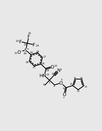 CC(C#N)(COC(=O)C1=CC=CC1)NC(=O)c1ccc([S+]([O-])C(F)(F)F)cc1